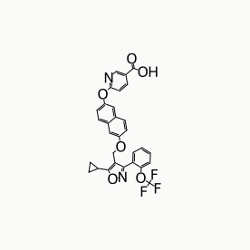 O=C(O)c1ccc(Oc2ccc3cc(OCc4c(-c5ccccc5OC(F)(F)F)noc4C4CC4)ccc3c2)nc1